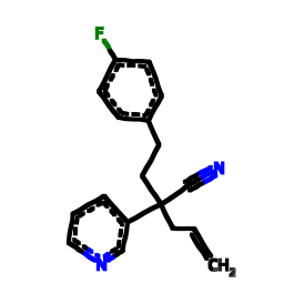 C=CCC(C#N)(CCc1ccc(F)cc1)c1cccnc1